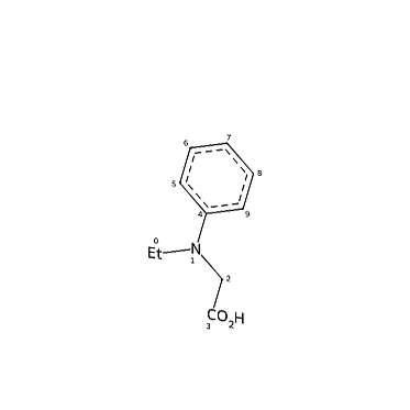 CCN(CC(=O)O)c1ccccc1